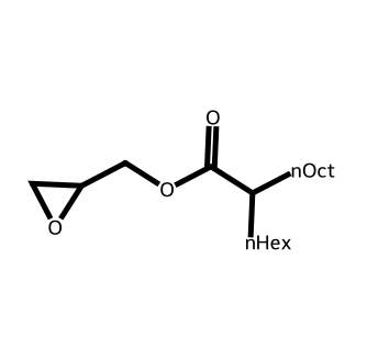 CCCCCCCCC(CCCCCC)C(=O)OCC1CO1